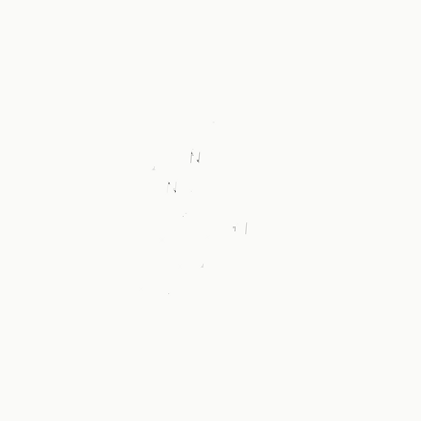 C=Cn1cc[n+](Cc2c3ccccc3cc3ccccc23)c1.[Cl-]